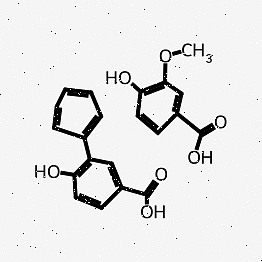 COc1cc(C(=O)O)ccc1O.O=C(O)c1ccc(O)c(-c2ccccc2)c1